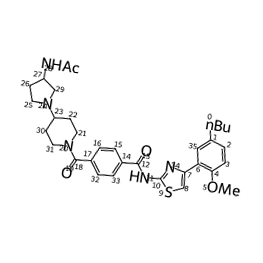 CCCCc1ccc(OC)c(-c2csc(NC(=O)c3ccc(C(=O)N4CCC(N5CCC(NC(C)=O)C5)CC4)cc3)n2)c1